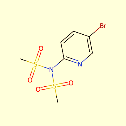 CS(=O)(=O)N(c1ccc(Br)cn1)S(C)(=O)=O